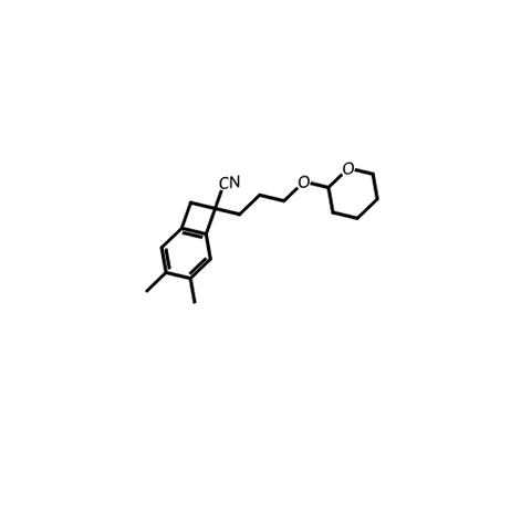 Cc1cc2c(cc1C)C(C#N)(CCCOC1CCCCO1)C2